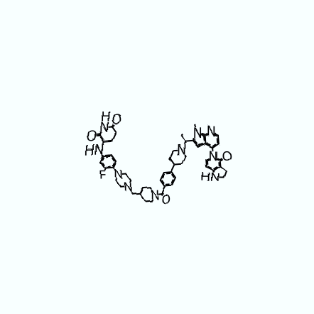 C[C@@H](c1cc2c(-n3ccc4c(c3=O)CCN4)ccnc2n1C)N1CCC(c2ccc(C(=O)N3CCC(CN4CCN(c5ccc(NC6CCC(=O)NC6=O)cc5F)CC4)CC3)cc2)CC1